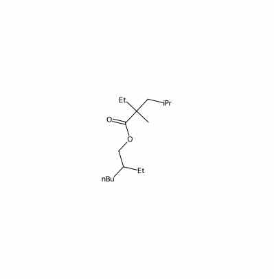 CCCCC(CC)COC(=O)C(C)(CC)CC(C)C